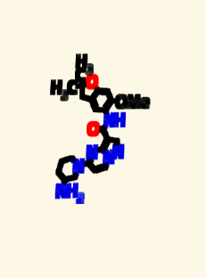 COc1cc2c(cc1NC(=O)c1cnn3ccc(N4CCCC(N)C4)nc13)CC(C)(C)O2